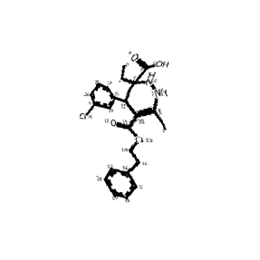 CCC1(C(=O)O)NNC(C)=C(C(=O)OCCc2ccccc2)C1c1cccc(Cl)c1